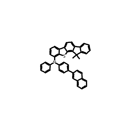 CC1(C)c2ccccc2-c2ccc3c(sc4c(N(c5ccccc5)c5ccc(-c6ccc7ccccc7c6)cc5)cccc43)c21